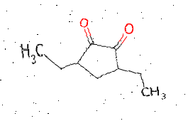 CCC1CC(CC)C(=O)C1=O